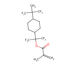 C=C(C)C(=O)OC(C1CCC(C(C)(C(F)(F)F)C(F)(F)F)CC1)(C(F)(F)F)C(F)(F)F